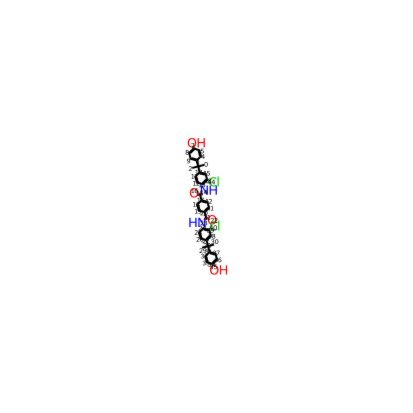 CC(C)(c1ccc(O)cc1)c1ccc(NC(=O)c2ccc(C(=O)Nc3ccc(C(C)(C)c4ccc(O)cc4)cc3Cl)cc2)c(Cl)c1